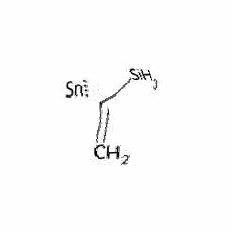 C=C[SiH3].[Sn]